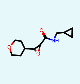 O=C(NCC1CC1)C1OC1C1CCOCC1